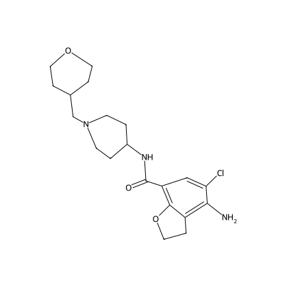 Nc1c(Cl)cc(C(=O)NC2CCN(CC3CCOCC3)CC2)c2c1CCO2